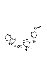 CC(C)Oc1ccc(NC(=O)[C@H](C)NC(=O)[C@H]2C[C@@H]2c2nc3ccccc3[nH]2)cc1